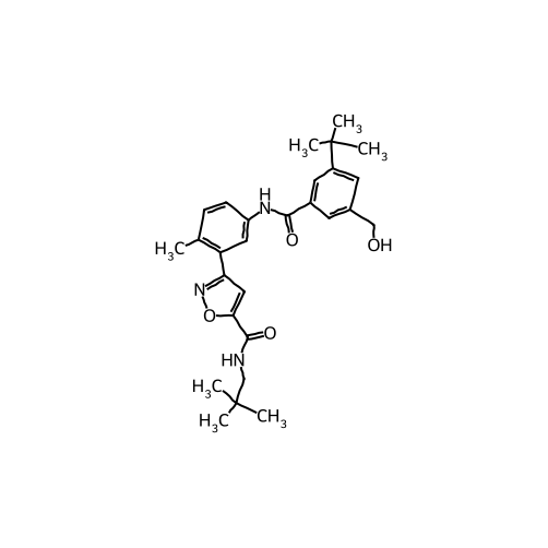 Cc1ccc(NC(=O)c2cc(CO)cc(C(C)(C)C)c2)cc1-c1cc(C(=O)NCC(C)(C)C)on1